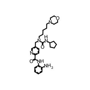 Nc1ccccc1NC(=O)c1ccc(CN(CCCCCN2CCOCC2)C(=O)NC2CCCC2)cn1